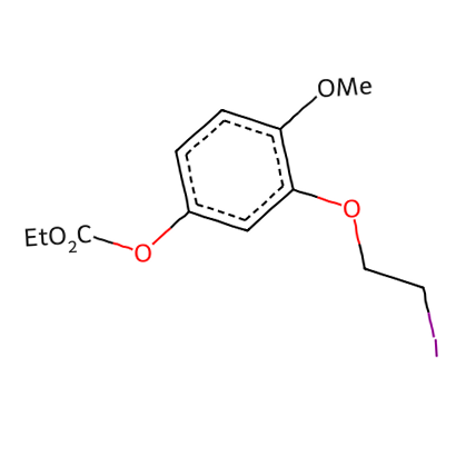 CCOC(=O)Oc1ccc(OC)c(OCCI)c1